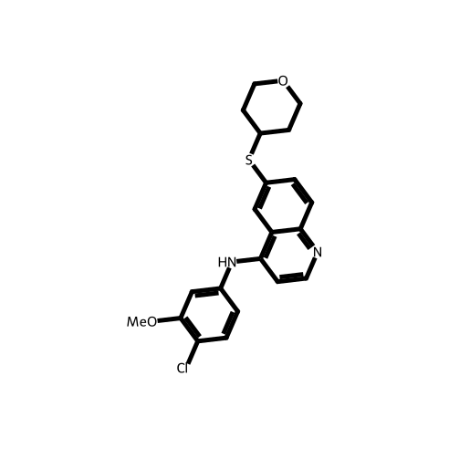 COc1cc(Nc2ccnc3ccc(SC4CCOCC4)cc23)ccc1Cl